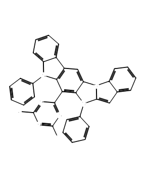 Brc1nc(Br)nc(-c2c3c(cc4c2n(-c2ccccc2)c2cc5ccccc5n42)c2ccccc2n3-c2ccccc2)n1